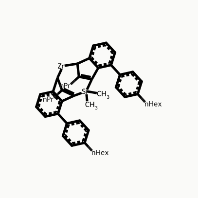 CCCCCCc1ccc(-c2cccc3c2C2=C(CCC)[CH]3[Zr][CH]3C(CCC)=C(c4c(-c5ccc(CCCCCC)cc5)cccc43)[Si]2(C)C)cc1